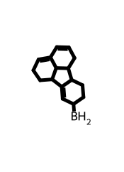 BC1C=C2C(CC1)C1CC=CC3=CCCC2C31